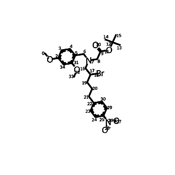 COc1ccc(CN(CC(=O)OC(C)(C)C)CC(Br)CCCc2ccc([N+](=O)[O-])cc2)c(OC)c1